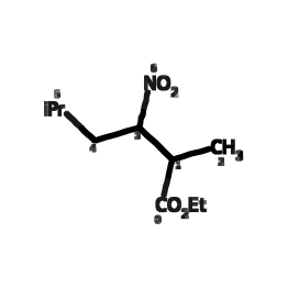 CCOC(=O)C(C)C(CC(C)C)[N+](=O)[O-]